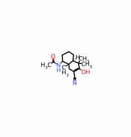 CC(=O)NC1CCC[C@H]2C(C)(C)C(O)=C(C#N)C[C@]12C